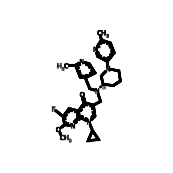 COc1nc2c(cc1F)c(=O)c(CN(Cc1ccnc(C)c1)[C@H]1CCCN(c3ccc(C)nc3)C1)cn2C1CC1